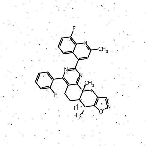 Cc1cc(-c2nc(-c3ccccc3F)c3c(n2)[C@]2(C)Cc4cnoc4[C@H](C)[C@H]2CC3)c2cccc(F)c2n1